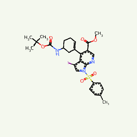 COC(=O)c1cnc2c(c(I)cn2S(=O)(=O)c2ccc(C)cc2)c1C1=CCCC(NC(=O)OC(C)(C)C)C1